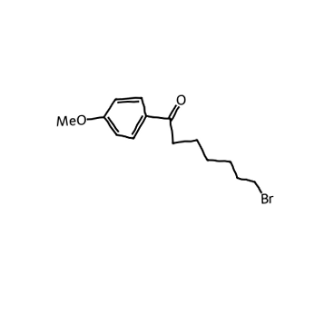 COc1ccc(C(=O)CCCCCCBr)cc1